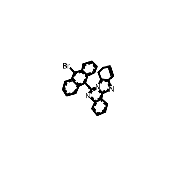 Brc1c2ccccc2c(-c2nc3ccccc3c3nc4c(n23)CCC=C4)c2ccccc12